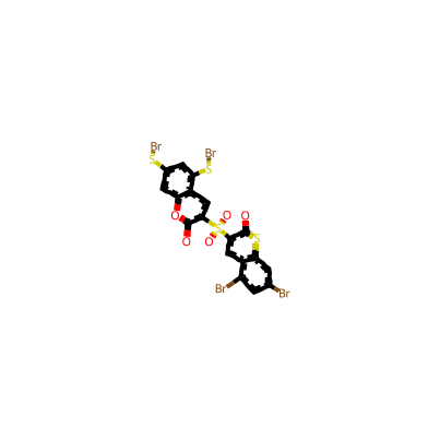 O=c1oc2cc(SBr)cc(SBr)c2cc1S(=O)(=O)c1cc2c(Br)cc(Br)cc2sc1=O